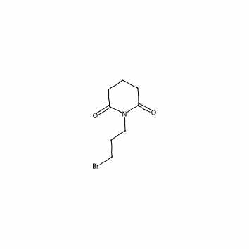 O=C1CCCC(=O)N1CCCBr